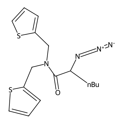 [CH2]CCCC(N=[N+]=[N-])C(=O)N(Cc1cccs1)Cc1cccs1